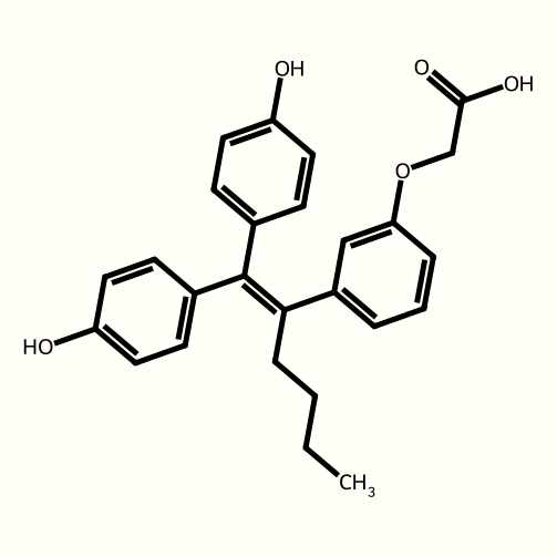 CCCCC(=C(c1ccc(O)cc1)c1ccc(O)cc1)c1cccc(OCC(=O)O)c1